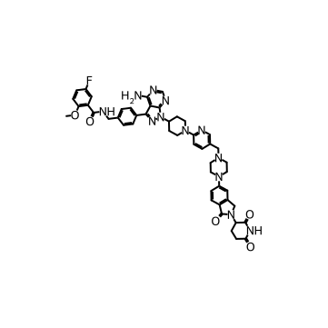 COc1ccc(F)cc1C(=O)NCc1ccc(-c2nn(C3CCN(c4ccc(CN5CCN(c6ccc7c(c6)CN(C6CCC(=O)NC6=O)C7=O)CC5)cn4)CC3)c3ncnc(N)c23)cc1